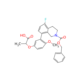 COc1ccc(OC(C)C(=O)O)cc1-c1ccc(F)c2c1CN(C(=O)OCc1ccccc1)CC2